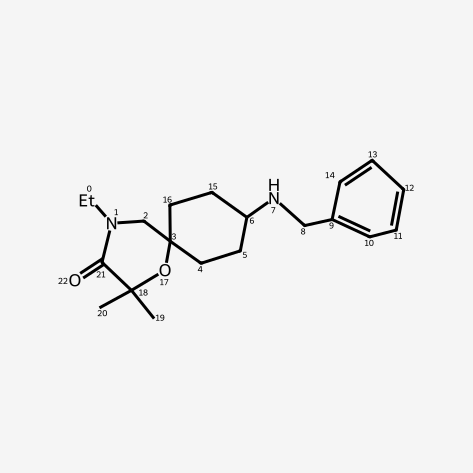 CCN1CC2(CCC(NCc3ccccc3)CC2)OC(C)(C)C1=O